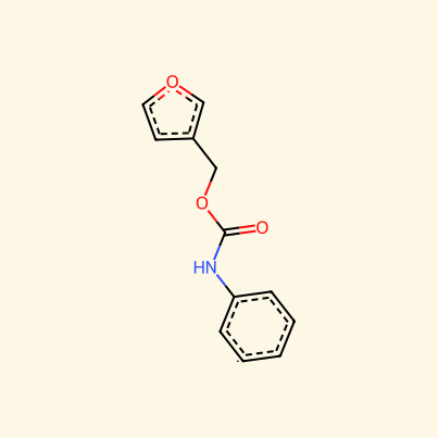 O=C(Nc1c[c]ccc1)OCc1ccoc1